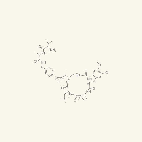 COc1ccc(C[C@H]2NC(=O)/C=C/C[C@@H](C(C)[C@H]3O[C@@H]3c3ccc(CNC(=O)C(C)NC(=O)C(N)C(C)C)cc3)OC(=O)[C@H](CC(C)(C)C)NC(=O)C(C)(C)C(C)NC2=O)cc1Cl